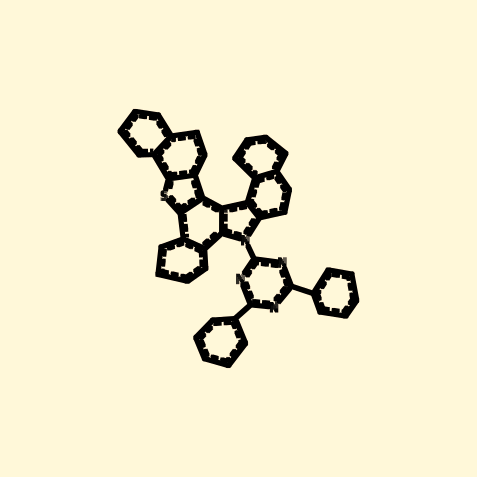 c1ccc(-c2nc(-c3ccccc3)nc(-n3c4ccc5ccccc5c4c4c5c6ccc7ccccc7c6sc5c5ccccc5c43)n2)cc1